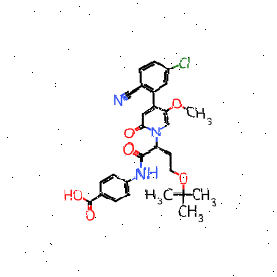 COc1cn([C@@H](CCOC(C)(C)C)C(=O)Nc2ccc(C(=O)O)cc2)c(=O)cc1-c1cc(Cl)ccc1C#N